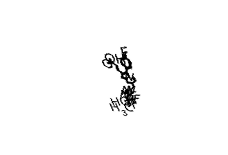 CCC(O)(c1cn(Cc2ccn3c(-c4ccc(F)cc4)c(C=CC(=O)O)cc3c2)nn1)C(F)(F)F